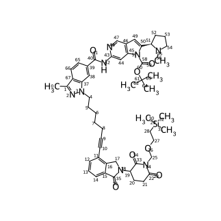 Cc1nn(CCCCCC#Cc2cccc3c2CN(C2CCC(=O)N(COCC[Si](C)(C)C)C2=O)C3=O)c2cc(C(=O)Nc3cc4c(cn3)cc([C@H]3CCCN3C)n4C(=O)OC(C)(C)C)ccc12